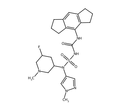 CN1CC(F)CC(N(c2cnn(C)c2)S(=O)(=O)NC(=O)Nc2c3c(cc4c2CCC4)CCC3)C1